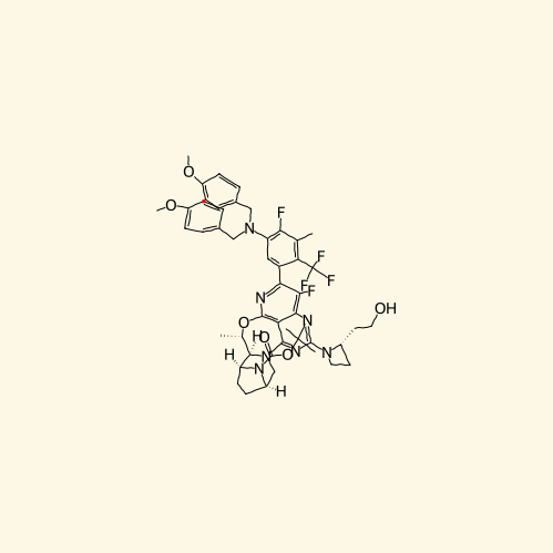 COc1ccc(CN(Cc2ccc(OC)cc2)c2cc(-c3nc4c5c(nc(N6CC[C@H]6CCO)nc5c3F)N3C[C@H]5CC[C@@H]([C@H]3[C@H](C)O4)N5C(=O)OC(C)(C)C)c(C(F)(F)F)c(C)c2F)cc1